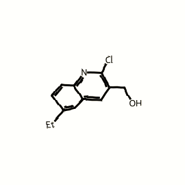 CCc1ccc2nc(Cl)c(CO)cc2c1